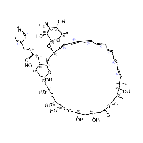 C=N/C=C\C(=C/C)CNC(=O)N[C@H]1[C@@H]2C[C@@H](O[C@@H]3O[C@H](C)[C@@H](O)[C@H](N)[C@@H]3O)/C=C/C=C/C=C/C=C/C=C/C=C/C=C/[C@H](C)[C@@H](O)[C@@H](C)[C@H](C)OC(=O)C[C@H](O)C[C@H](O)CC[C@@H](O)[C@H](O)C[C@H](O)C[C@](O)(C[C@@H]1O)O2